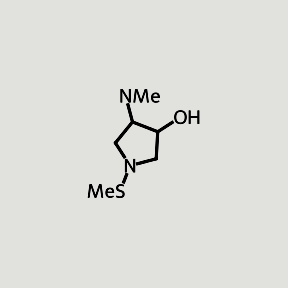 CNC1CN(SC)CC1O